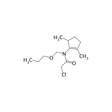 CCCOCN(C(=O)CCl)C1=C(C)CCC1C